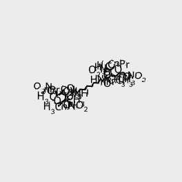 CCC[C@@]1(C)OC(C)(CO[N+](=O)[O-])[C@@](C)(CCC)[C@](C)(OC(=O)NCCCCCCNC(=O)O[C@]2(C)C(C)(O[N+](=O)[O-])[C@](C)(CCC)OC(C)(CO[N+](=O)[O-])[C@]2(C)CCC)C1(C)O[N+](=O)[O-]